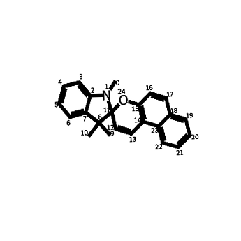 CN1c2ccccc2C(C)(C)C12C=Cc1c(ccc3ccccc13)O2